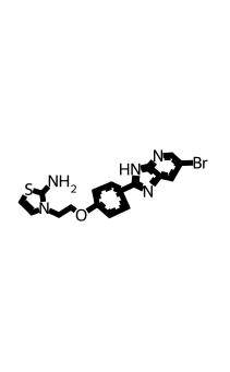 NC1SC=CN1CCOc1ccc(-c2nc3cc(Br)cnc3[nH]2)cc1